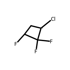 FC1C[C](Cl)C1(F)F